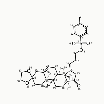 Cc1ccc(S(=O)(=O)OCCC[C@H]2CC(=O)[C@@]3(C)CC[C@H]4[C@@H](CC=C5CC6(CC[C@@]54C)OCCO6)[C@H]23)cc1